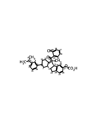 CN(C)c1cc(C2CCC([N+](C)(C(=O)c3ccccc3Cl)[C@@H]3CCc4ccc(OC(=O)O)cc43)CC2)ccn1